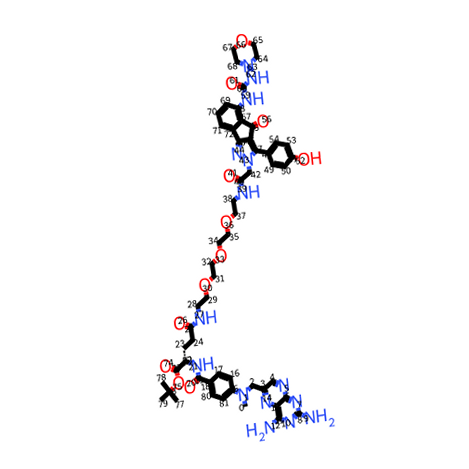 CN(Cc1cnc2nc(N)nc(N)c2n1)c1ccc(C(=O)N[C@@H](CCC(=O)NCCOCCOCCOCCNC(=O)Cn2nc3c(c2-c2ccc(O)cc2)C(=O)c2c(NC(=O)NN4CCOCC4)cccc2-3)C(=O)OC(C)(C)C)cc1